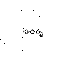 CN1CCN(c2ccc(-c3cnc4c(c3)C=NCC4)cn2)CC1